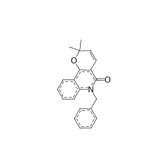 CC1(C)C=Cc2c(c3ccccc3n(Cc3ccccc3)c2=O)O1